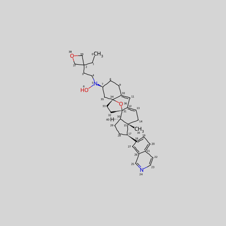 CCC1(CCN(O)[C@H]2CCC3=CC4=CC[C@]5(C)[C@@H](c6ccc7ccncc7c6)CC[C@H]5[C@@]45CC[C@]3(C2)O5)COC1